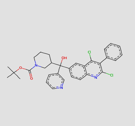 CC(C)(C)OC(=O)N1CCCC(C(O)(c2cccnc2)c2ccc3nc(Cl)c(-c4ccccc4)c(Cl)c3c2)C1